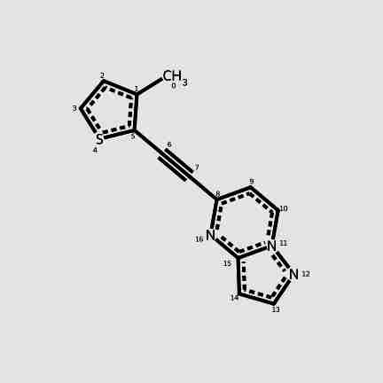 Cc1ccsc1C#Cc1ccn2nccc2n1